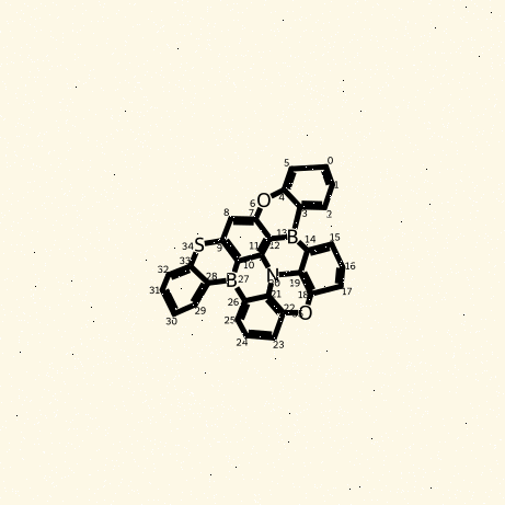 c1ccc2c(c1)Oc1cc3c4c5c1B2c1cccc2c1N5c1c(cccc1B4c1ccccc1S3)O2